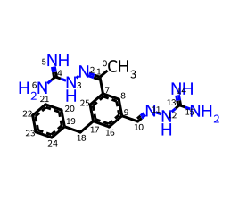 C/C(=N/NC(=N)N)c1cc(/C=N/NC(=N)N)cc(Cc2ccccc2)c1